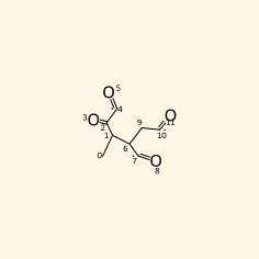 CC(C(=O)[C]=O)C([C]=O)C[C]=O